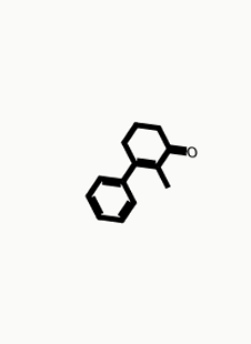 CC1=C(c2ccccc2)CCCC1=O